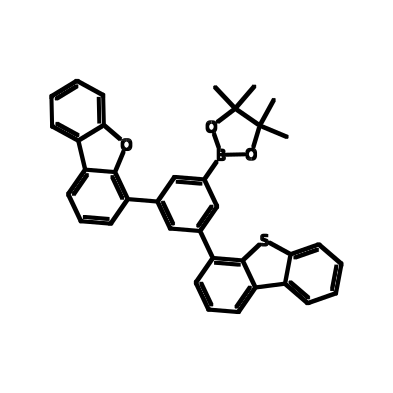 CC1(C)OB(c2cc(-c3cccc4c3oc3ccccc34)cc(-c3cccc4c3sc3ccccc34)c2)OC1(C)C